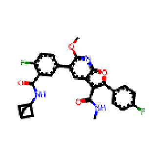 CNC(=O)c1c(-c2ccc(F)cc2)oc2nc(OC)c(-c3ccc(F)c(C(=O)NC45CC(C4)C5)c3)cc12